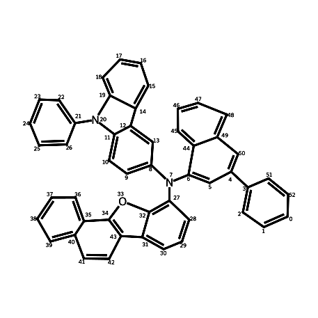 c1ccc(-c2cc(N(c3ccc4c(c3)c3ccccc3n4-c3ccccc3)c3cccc4c3oc3c5ccccc5ccc43)c3ccccc3c2)cc1